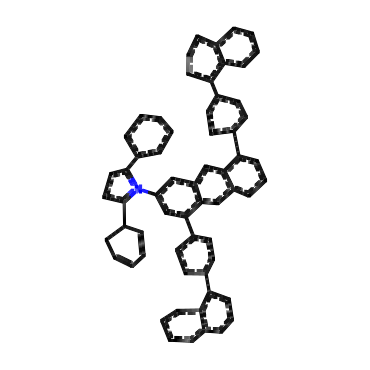 C1=CCC(c2ccc(-c3ccccc3)n2-c2cc(-c3ccc(-c4cccc5ccccc45)cc3)c3cc4cccc(-c5ccc(-c6cccc7ccccc67)cc5)c4cc3c2)C=C1